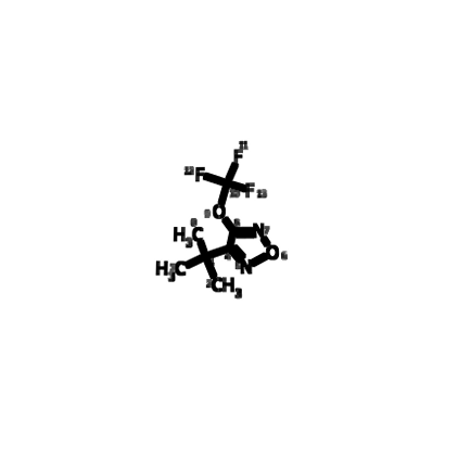 CC(C)(C)c1nonc1OC(F)(F)F